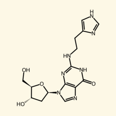 O=c1[nH]c(NCCc2c[nH]cn2)nc2c1ncn2[C@H]1C[C@H](O)[C@@H](CO)O1